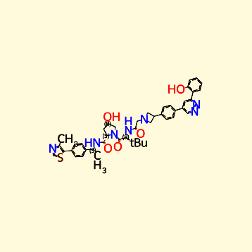 Cc1ncsc1-c1ccc([C@H](C)NC(=O)[C@@H]2C[C@@H](O)CN2C(=O)[C@@H](NC(=O)CN2CC(c3ccc(-c4cnnc(-c5ccccc5O)c4)cc3)C2)C(C)(C)C)cc1